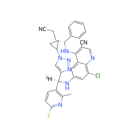 [2H][C@@](Nc1cc(Cl)c2ncc(C#N)c(N[C@H](CCC#N)c3ccccc3)c2c1)(c1cn(C2CC2)nn1)c1ccc(F)nc1C